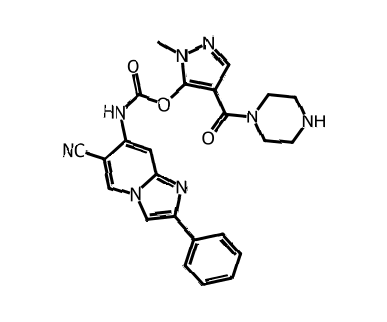 Cn1ncc(C(=O)N2CCNCC2)c1OC(=O)Nc1cc2nc(-c3ccccc3)cn2cc1C#N